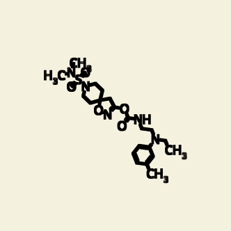 CCN(CCNC(=O)OC1=NOC2(CCN(S(=O)(=O)N(C)C)CC2)C1)c1cccc(C)c1